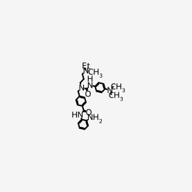 CCN(C)CCCN(Cc1ccc(C(=O)Nc2ccccc2N)cc1)C(=O)Nc1ccc(N(C)C)cc1